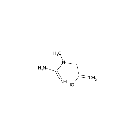 C=C(O)CN(C)C(=N)N